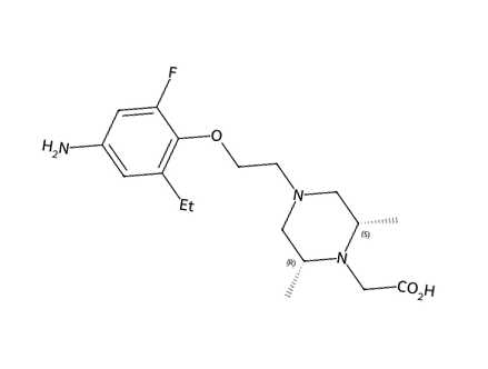 CCc1cc(N)cc(F)c1OCCN1C[C@@H](C)N(CC(=O)O)[C@@H](C)C1